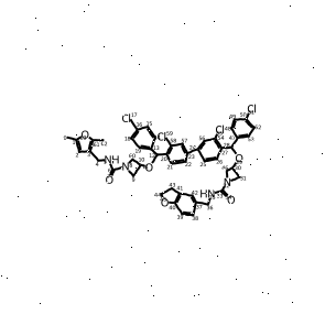 Cc1cc(CNC(=O)N2CC(OC(c3ccc(Cl)cc3)c3ccc(-c4ccc(C(OC5CN(C(=O)NCc6ccc7c(c6)CCO7)C5)c5ccc(Cl)cc5)c(Cl)c4)cc3Cl)C2)c(C)o1